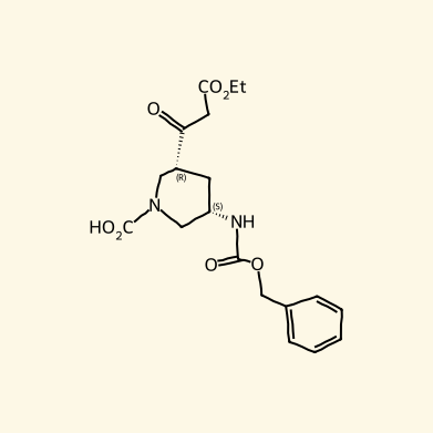 CCOC(=O)CC(=O)[C@@H]1C[C@H](NC(=O)OCc2ccccc2)CN(C(=O)O)C1